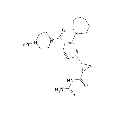 CCCN1CCN(C(=O)c2ccc(C3CC3C(=O)NC(N)=S)cc2N2CCCCCC2)CC1